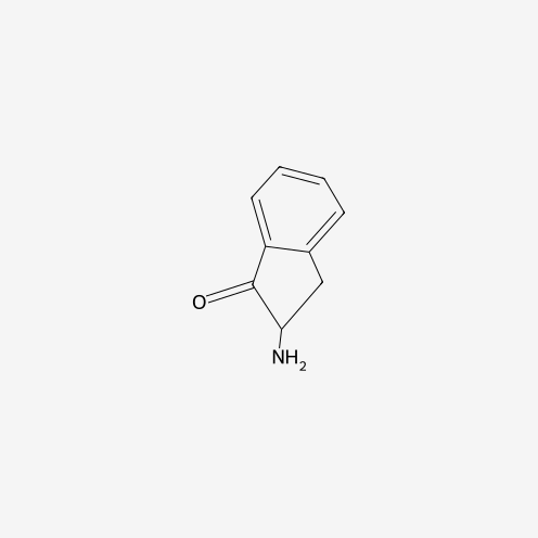 NC1Cc2ccccc2C1=O